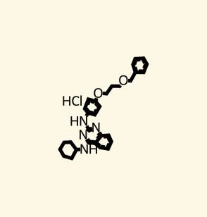 Cl.c1ccc(COCCCOc2ccc(Nc3nc(NC4CCCCC4)c4ccccc4n3)cc2)cc1